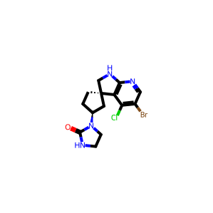 O=C1NCCN1[C@H]1CC[C@@]2(CNc3ncc(Br)c(Cl)c32)C1